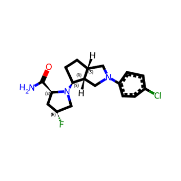 NC(=O)[C@@H]1C[C@@H](F)CN1[C@H]1CC[C@@H]2CN(c3ccc(Cl)cc3)C[C@@H]21